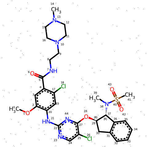 COc1cc(C(=O)NCCN2CCN(C)CC2)c(Cl)cc1Nc1ncc(Cl)c(O[C@@H]2Cc3ccccc3[C@H]2N(C)S(C)(=O)=O)n1